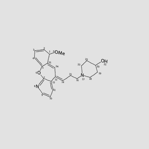 COC1C=CC=C2Oc3ncccc3C(=CCCN3CCC(O)CC3)C=C21